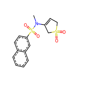 CN(C1=CCS(=O)(=O)C1)S(=O)(=O)c1ccc2ccccc2c1